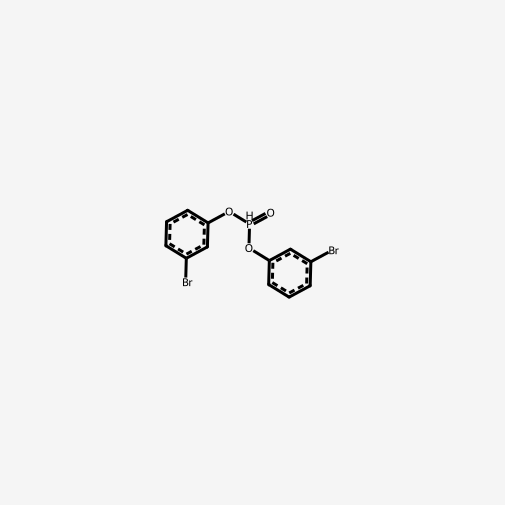 O=[PH](Oc1cccc(Br)c1)Oc1cccc(Br)c1